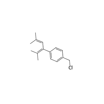 CC(C)=CC(=C(C)C)c1ccc(CCl)cc1